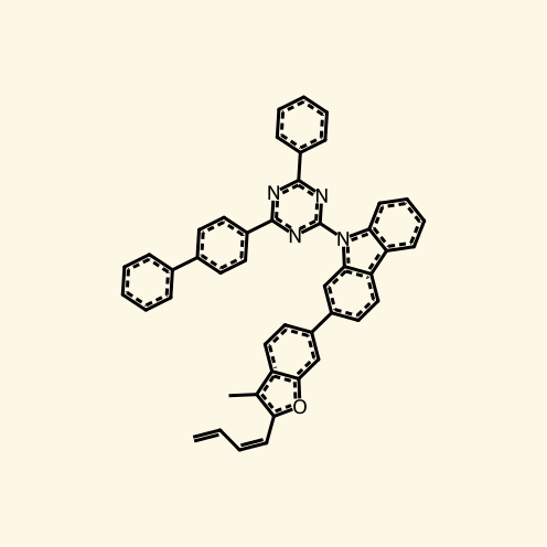 C=C/C=C\c1oc2cc(-c3ccc4c5ccccc5n(-c5nc(-c6ccccc6)nc(-c6ccc(-c7ccccc7)cc6)n5)c4c3)ccc2c1C